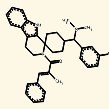 CC(=Cc1ccccc1)C(=O)N1CCc2c([nH]c3ccccc23)C12CCC(C(c1cccc(F)c1)N(C)C)CC2